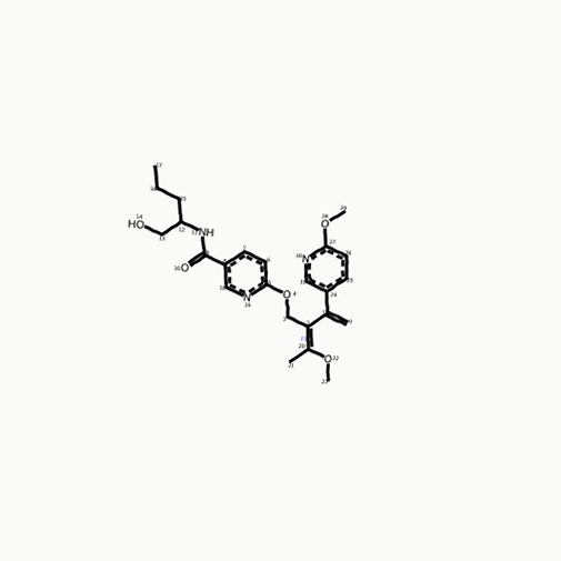 C=C(/C(COc1ccc(C(=O)NC(CO)CCC)cn1)=C(/C)OC)c1ccc(OC)nc1